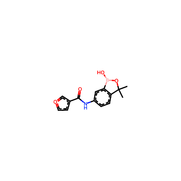 CC1(C)OB(O)c2cc(NC(=O)c3ccoc3)ccc21